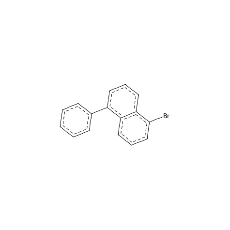 Brc1cccc2c(-c3ccccc3)cccc12